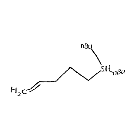 C=CCCC[SiH](CCCC)CCCC